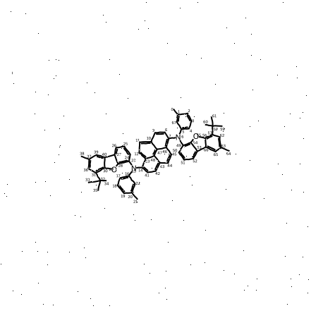 Cc1cccc(N(c2ccc3ccc4c(N(c5cccc(C)c5)c5cccc6c5oc5c(C(C)(C)C)cc(C)cc56)ccc5ccc2c3c54)c2cccc3c2oc2c(C(C)(C)C)cc(C)cc23)c1